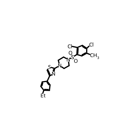 CCc1ccc(-c2csc(N3CCN(S(=O)(=O)c4cc(C)c(Cl)cc4Cl)CC3)n2)cc1